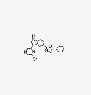 c1ccc(-c2nnc(-c3ccc4[nH]cc(-c5cncc(C6CC6)n5)c4c3)o2)cc1